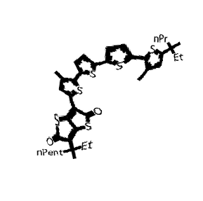 CCCCCC(C)(CC)C1=C2SC(=O)C(c3cc(C)c(-c4ccc(-c5ccc(-c6sc(C(C)(CC)CCC)cc6C)s5)s4)s3)=C2SC1=O